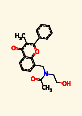 CC(=O)N(CCO)Cc1cccc2c(=O)c(C)c(-c3ccccc3)oc12